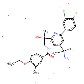 COc1cc(C(=O)NCC(O)(c2cc(C(C)(C)N)cc(-c3ccc(F)c(Cl)c3)n2)C(F)(F)F)ccc1OCC(=O)O